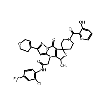 CC1SC2(CCN(C(=O)c3ncccc3O)CC2)c2c1n(CC(=O)Nc1ccc(C(F)(F)F)cc1Cl)c1cc(C3=CCOCC3)nn1c2=O